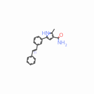 Cc1[nH]c(-c2cccc(/C=C/c3ccccc3)c2)cc1C(N)=O